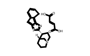 C1=CCC2=c3nc([C@@H]4CCN5CCC[C@H]4C5)sc3=CC2=C1.O=C(O)C=CC(=O)O